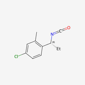 CC[C@@H](N=C=O)c1ccc(Cl)cc1C